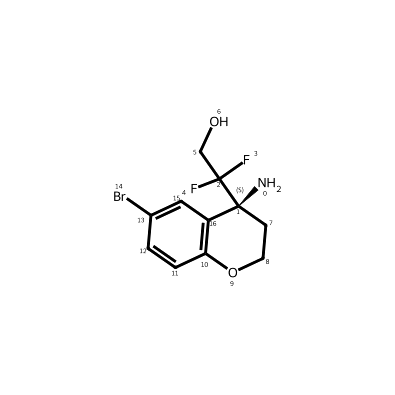 N[C@@]1(C(F)(F)CO)CCOc2ccc(Br)cc21